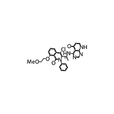 COCCOc1cccc2c(Cl)c([C@H](C)Nc3ncnc4[nH]ccc(=O)c34)n(-c3ccccc3)c(=O)c12